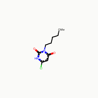 COCCCCn1c(=O)cc(Cl)[nH]c1=O